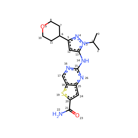 CC(C)n1nc(C2CCOCC2)cc1Nc1ncc2sc(C(N)=O)cc2n1